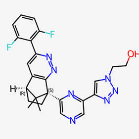 CC1(C)[C@H]2CC[C@]1(c1cncc(-c3cn(CCO)nn3)n1)c1nnc(-c3c(F)cccc3F)cc12